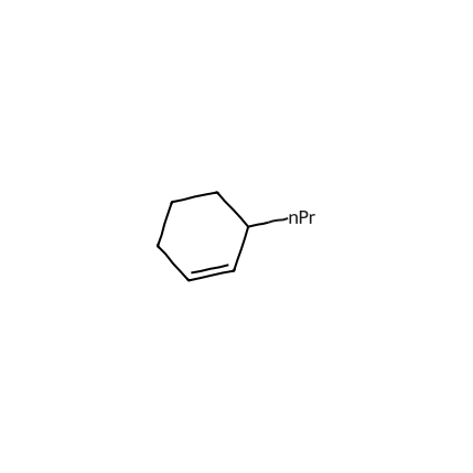 [CH2]CCC1C=CCCC1